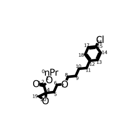 CCCOC(=O)C1(CCOCCCCc2ccc(Cl)cc2)CO1